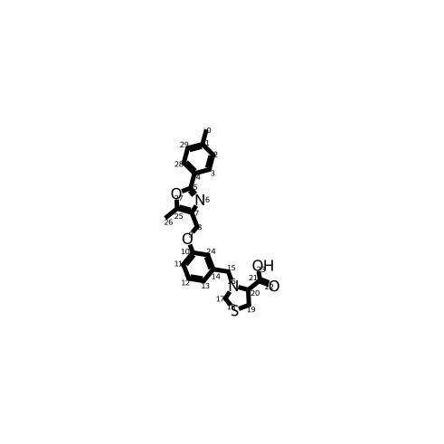 Cc1ccc(-c2nc(COc3cccc(CN4CSCC4C(=O)O)c3)c(C)o2)cc1